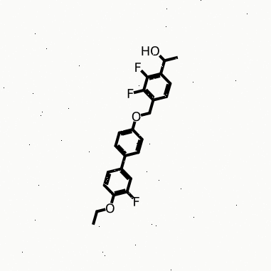 CCOc1ccc(-c2ccc(OCc3ccc(C(C)O)c(F)c3F)cc2)cc1F